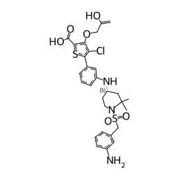 C=C(O)COc1c(C(=O)O)sc(-c2cccc(N[C@H]3CCN(S(=O)(=O)Cc4cccc(N)c4)C(C)(C)C3)c2)c1Cl